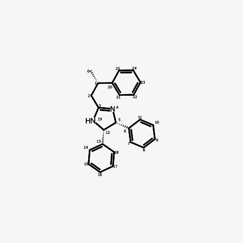 C[C@@H](CC1=N[C@H](c2ccccc2)[C@H](c2ccccc2)N1)c1ccccc1